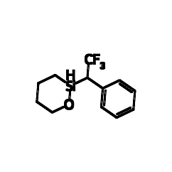 FC(F)(F)C(c1ccccc1)[SiH]1CCCCO1